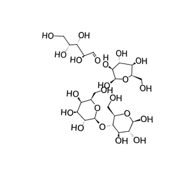 O=C[C@@H](O)[C@@H](O)[C@H](O)CO.OC[C@H]1O[C@@H](O)[C@@H](O)[C@H](O)[C@H]1O.OC[C@H]1O[C@@H](O[C@H]2[C@H](O)[C@@H](O)[C@H](O)O[C@@H]2CO)[C@H](O)[C@@H](O)[C@H]1O